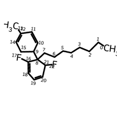 CCCCCCCCC1(C2C=CC(C)=CC2)C(F)=CC=CC1F